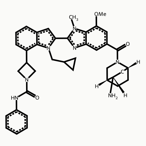 COc1cc(C(=O)N2C[C@H]3CC[C@@H]2C[C@@H]3N)cc2nc(-c3cc4cccc(C5CN(C(=O)Nc6ccccc6)C5)c4n3CC3CC3)n(C)c12